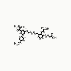 CCc1ccc(-c2cc(OCCCCCCc3cccc(OCCCC(=O)O)c3CCC(=O)O)cc(C(=O)N(C)C)c2)cc1